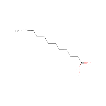 [2H]OC(=O)CCCCCCCCCCCCCCCCC